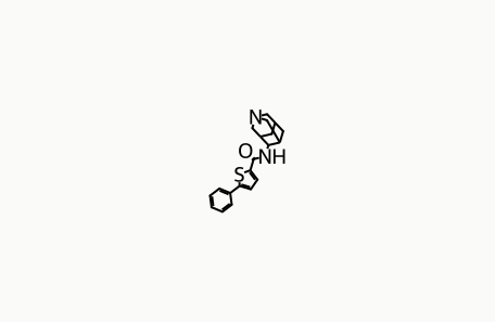 O=C(NC1C2CC3CC1CN(C3)C2)c1ccc(-c2ccccc2)s1